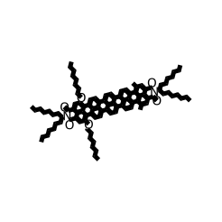 CCCCCCCCOc1cc2c3c(cc(OCCCCCCCC)c4c5ccc6c7ccc8c9ccc%10c%11c(C)cc%12c%13c(cc(C)c(c%14ccc(c%15ccc(c%16ccc(c1c34)c5c%166)c7c%158)c9c%14%10)c%13%11)C(=O)N(C(CCCCCCC)CCCCCCC)C%12=O)C(=O)N(C(CCCCCCC)CCCCCCC)C2=O